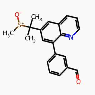 C[S+]([O-])C(C)(C)c1cc(-c2cccc(C=O)c2)c2ncccc2c1